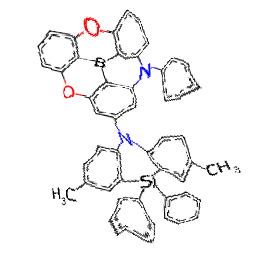 Cc1ccc2c(c1)[Si](c1ccccc1)(c1ccccc1)c1cc(C)ccc1N2c1cc2c3c(c1)N(c1ccccc1)c1cccc4c1B3c1c(cccc1O2)O4